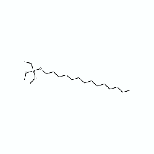 CCCCCCCCCCCCCCO[Si](CC)(OC)OC